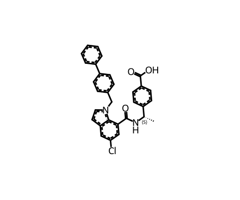 C[C@H](NC(=O)c1cc(Cl)cc2ccn(Cc3ccc(-c4ccccc4)cc3)c12)c1ccc(C(=O)O)cc1